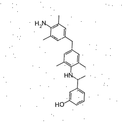 Cc1cc(Cc2cc(C)c(NC(C)c3cccc(O)c3)c(C)c2)cc(C)c1N